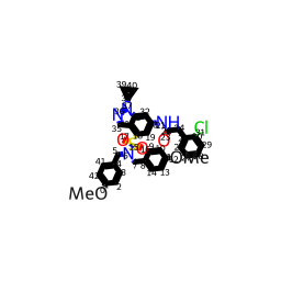 COc1ccc(CN(Cc2ccc(OC)cc2)S(=O)(=O)c2cc(NC(=O)Cc3ccccc3Cl)cc3c2cnn3C2CC2)cc1